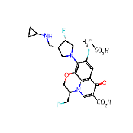 CS(=O)(=O)O.O=C(O)c1cn2c3c(c(N4C[C@H](CNC5CC5)[C@H](F)C4)c(F)cc3c1=O)OC[C@@H]2CF